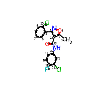 Cc1onc(-c2ccccc2Cl)c1C(=O)Nc1ccc(F)c(Cl)c1